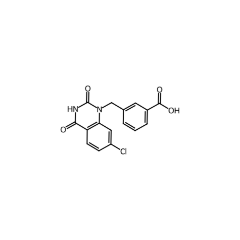 O=C(O)c1cccc(Cn2c(=O)[nH]c(=O)c3ccc(Cl)cc32)c1